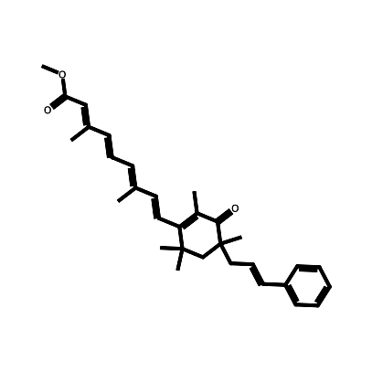 COC(=O)/C=C(C)/C=C/C=C(C)/C=C/C1=C(C)C(=O)C(C)(C/C=C/c2ccccc2)CC1(C)C